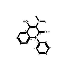 CN(C)c1c(O)c2ccccc2n(-c2ccccc2)c1=O